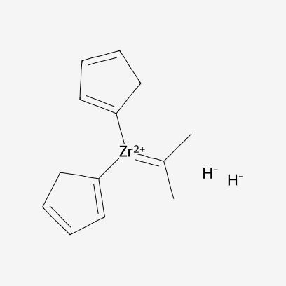 C[C](C)=[Zr+2]([C]1=CC=CC1)[C]1=CC=CC1.[H-].[H-]